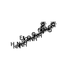 CCC(=O)OC(CCCCNC(=N)N)CC(=O)NCCC(=O)NCCCCN(CCCNC(=O)OCc1ccccc1)C(=O)OCc1ccccc1